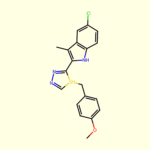 COc1ccc(C[SH]2C=NN=C2c2[nH]c3ccc(Cl)cc3c2C)cc1